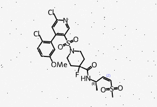 COc1ccc(Cl)c(-c2cc(Cl)ncc2S(=O)(=O)N2CCC(F)(C(=O)N[C@H](C)/C=C\S(C)(=O)=O)CC2)c1